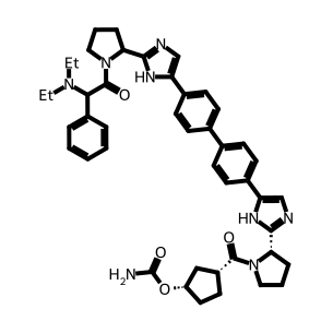 CCN(CC)C(C(=O)N1CCCC1c1ncc(-c2ccc(-c3ccc(-c4cnc([C@@H]5CCCN5C(=O)[C@@H]5CC[C@H](OC(N)=O)C5)[nH]4)cc3)cc2)[nH]1)c1ccccc1